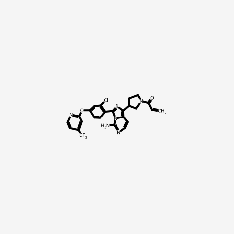 C=CC(=O)N1CCC(c2nc(-c3ccc(Oc4cc(C(F)(F)F)ccn4)cc3Cl)n3c(N)nccc23)C1